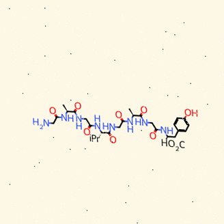 CC(C)[C@H](NC(=O)CNC(=O)[C@H](C)NC(=O)CN)C(=O)NCC(=O)N[C@@H](C)C(=O)NCC(=O)N[C@@H](Cc1ccc(O)cc1)C(=O)O